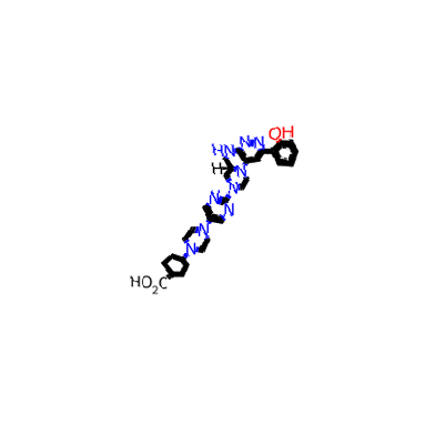 O=C(O)C1CCC(N2CCN(c3cnc(N4CCN5c6cc(-c7ccccc7O)nnc6NC[C@H]5C4)nc3)CC2)CC1